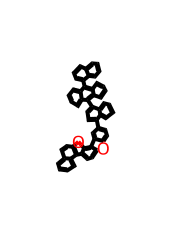 c1ccc2c(-c3c4ccccc4c(-c4ccc(-c5ccc6oc7ccc8c(oc9ccc%10ccccc%10c98)c7c6c5)c5ccccc45)c4ccccc34)cccc2c1